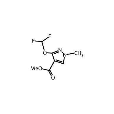 COC(=O)c1cn(C)nc1OC(F)F